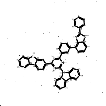 c1ccc(-c2nc3c(-c4cccc(-c5nc(-c6ccc7c(c6)sc6ccccc67)nc(-n6c7ccccc7c7ccccc76)n5)c4)cccc3s2)cc1